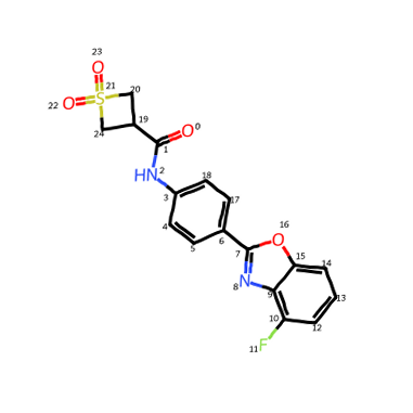 O=C(Nc1ccc(-c2nc3c(F)cccc3o2)cc1)C1CS(=O)(=O)C1